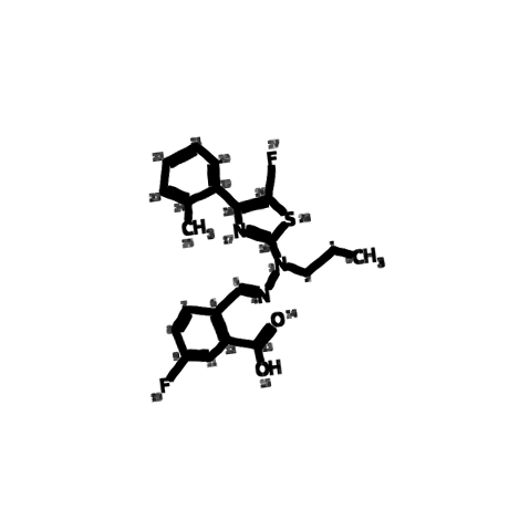 CCCN(/N=C/c1ccc(F)cc1C(=O)O)c1nc(-c2ccccc2C)c(F)s1